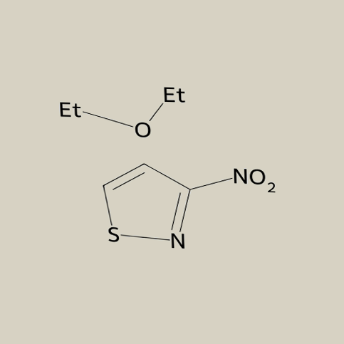 CCOCC.O=[N+]([O-])c1ccsn1